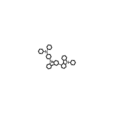 c1ccc(N(c2ccccc2)c2ccc(-n3c4ccccc4c4cc(-c5cccc6c5c5ccccc5n6-c5ccccc5)ccc43)cc2)cc1